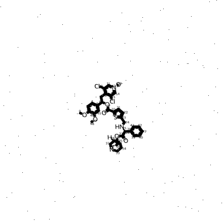 COc1ccc(C(Cc2c(Cl)c[n+]([O-])cc2Cl)OC(=O)c2ccc(CN[C@H](C(=O)O[C@H]3CN4CCC3CC4)c3ccccc3)s2)cc1OC